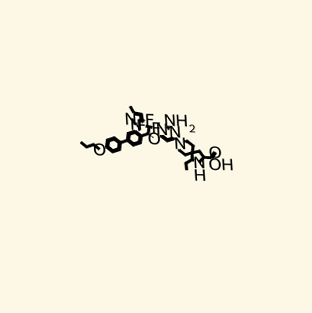 CCCOc1ccc(-c2ccc([C@@H](Oc3cc(N4CCC5(CC4)CC(C(=O)O)NC5CC)nc(N)n3)C(F)(F)F)c(-n3ccc(C)n3)c2)cc1